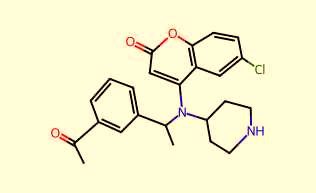 CC(=O)c1cccc(C(C)N(c2cc(=O)oc3ccc(Cl)cc23)C2CCNCC2)c1